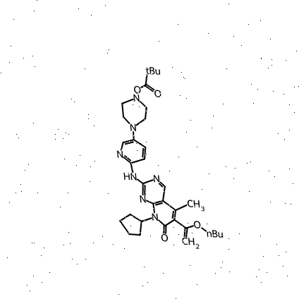 C=C(OCCCC)c1c(C)c2cnc(Nc3ccc(N4CCN(OC(=O)C(C)(C)C)CC4)cn3)nc2n(C2CCCC2)c1=O